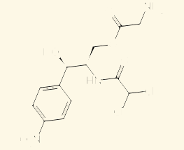 NCC(=O)OC[C@@H](NC(=O)C(Cl)Cl)[C@H](O)c1ccc([N+](=O)[O-])cc1